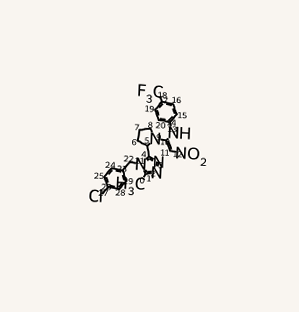 Cc1nnc(C2CCCN2C(=C[N+](=O)[O-])Nc2ccc(C(F)(F)F)cc2)n1Cc1ccc(Cl)cc1